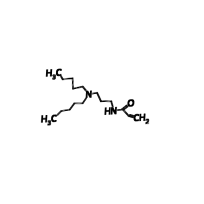 C=CC(=O)NCCCN(CCCCC)CCCCC